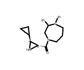 CC(C)C1CN(C(=O)[C@@H]2N[C@H]2C2CC2)CCCN1C(C)C